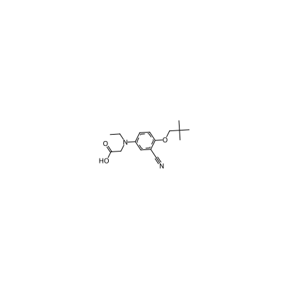 CCN(CC(=O)O)c1ccc(OCC(C)(C)C)c(C#N)c1